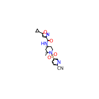 C[C@H]1C[C@@H](NC(=O)c2cc(C3CC3)on2)CCN1S(=O)(=O)c1ccc(C#N)nc1